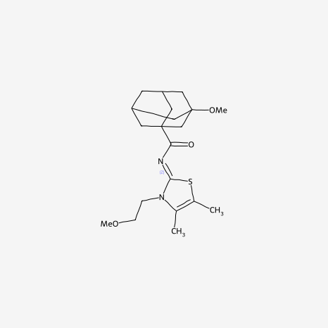 COCCn1c(C)c(C)s/c1=N\C(=O)C12CC3CC(CC(OC)(C3)C1)C2